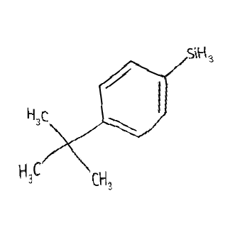 CC(C)(C)c1ccc([SiH3])cc1